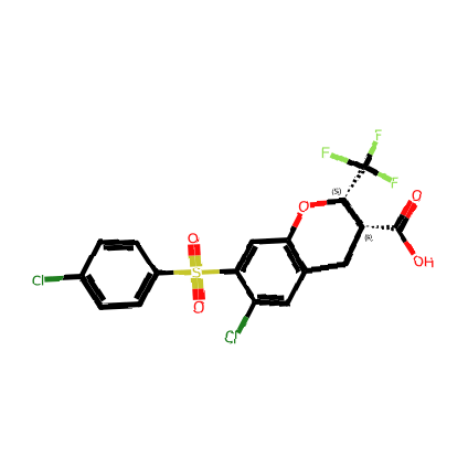 O=C(O)[C@@H]1Cc2cc(Cl)c(S(=O)(=O)c3ccc(Cl)cc3)cc2O[C@@H]1C(F)(F)F